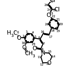 COc1ccc(C(=C\C(=O)N2CCOCC2)/C=C/c2cccc(O/C(Cl)=C/Cl)c2)cc1OC